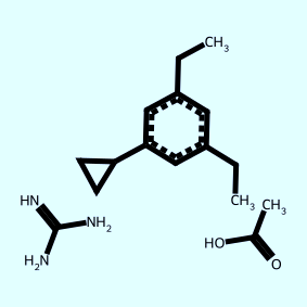 CC(=O)O.CCc1cc(CC)cc(C2CC2)c1.N=C(N)N